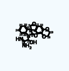 N=C(N)C(O)N1C(=O)C2(COc3cc4c(cc32)OCCO4)c2ccccc21